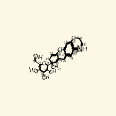 CC1([C@@H]2O[C@H](CO)[C@@H](O)[C@H](O)[C@H]2O)C=C(Cc2ccc3c(c2)NCCO3)C(Cl)=CC1